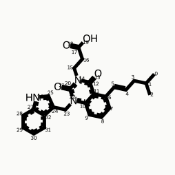 CC(C)CC=Cc1cccc2c1c(=O)n(CCC(=O)O)c(=O)n2Cc1c[nH]c2ccccc12